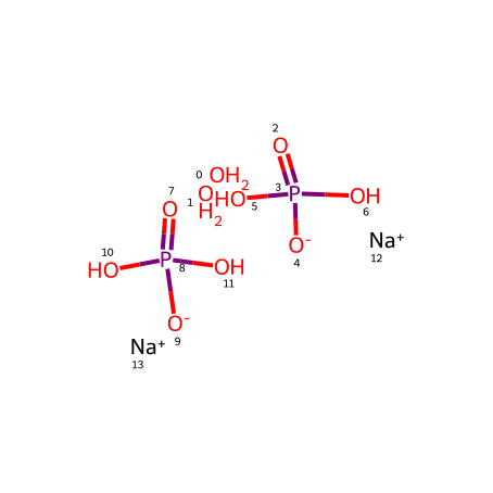 O.O.O=P([O-])(O)O.O=P([O-])(O)O.[Na+].[Na+]